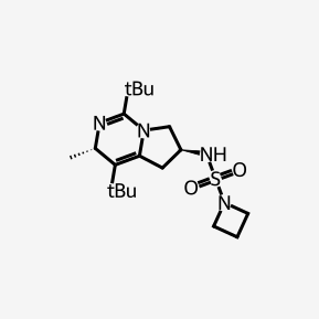 C[C@@H]1N=C(C(C)(C)C)N2C[C@@H](NS(=O)(=O)N3CCC3)CC2=C1C(C)(C)C